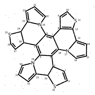 C1=CC2c3c(c4c(c5c6ccsc6c6cccn6c35)-n3cccc3C3SC=CC43)-n3cccc3C2S1